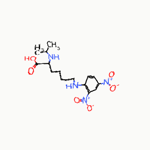 CC(C)NC(CCCCNc1ccc([N+](=O)[O-])cc1[N+](=O)[O-])C(=O)O